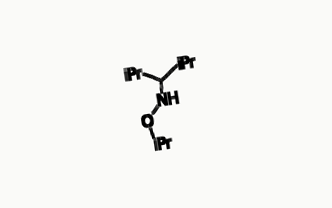 CC(C)ONC(C(C)C)C(C)C